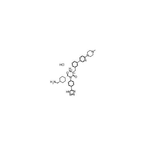 CN1CCN(c2ccc(-c3cccc(C[C@H](N)C(=O)N(c4ccc(-c5nnn[nH]5)cc4)C(=O)[C@H]4CC[C@H](CN)CC4)c3)cn2)CC1.Cl